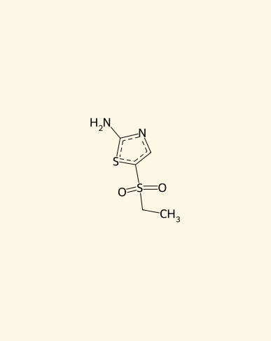 CCS(=O)(=O)c1cnc(N)s1